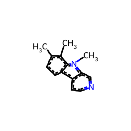 Cc1ccc2c3ccncc3n(C)c2c1C